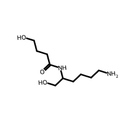 NCCCCC(CO)NC(=O)CCCO